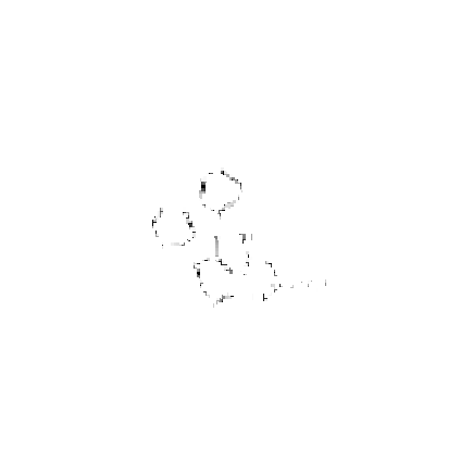 N[C@H](CC(=O)NC(c1ccccc1)(c1ccccc1)c1ccccc1)C(=O)O